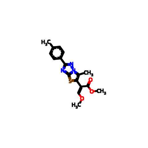 CO/C=C(\C(=O)OC)c1sc2nc(-c3ccc(C)cc3)nn2c1C